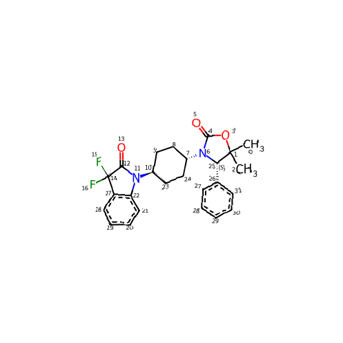 CC1(C)OC(=O)N([C@H]2CC[C@H](N3C(=O)C(F)(F)c4ccccc43)CC2)[C@H]1c1ccccc1